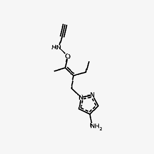 C#CNO/C(C)=C(\CC)Cn1cc(N)cn1